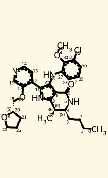 CCCC[C@@H]1NC(=O)c2c([nH]c(-c3ccncc3OC[C@@H]3CCCO3)c2Nc2cccc(Cl)c2OC)[C@@H]1C